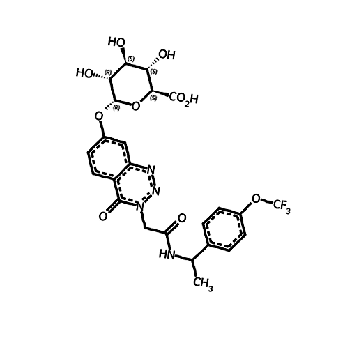 CC(NC(=O)Cn1nnc2cc(O[C@H]3O[C@H](C(=O)O)[C@@H](O)[C@H](O)[C@H]3O)ccc2c1=O)c1ccc(OC(F)(F)F)cc1